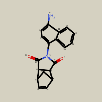 Nc1ccc(N2C(=O)C3C4C=CC(C4)C3C2=O)c2ccccc12